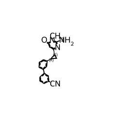 Cn1c(N)nc([C@H]2C[C@H]2c2cccc(-c3cccc(C#N)c3)c2)cc1=O